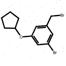 BrCc1cc(Br)cc(OC2CCCC2)c1